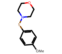 COc1ccc(SN2CCOCC2)cc1